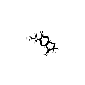 CC1(Br)Cc2cc(Cl)c(S(N)(=O)=O)cc2C1=O